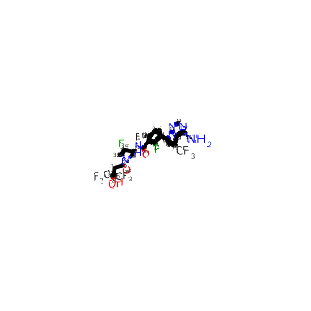 CCc1ccc(-c2cc(C(F)(F)F)c3c(N)ncnn23)c(F)c1C(=O)N[C@@H]1CN(C(=O)CC(O)(C(F)(F)F)C(F)(F)F)C[C@@H]1F